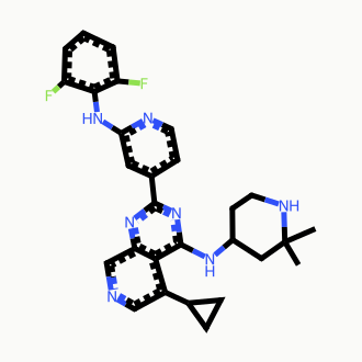 CC1(C)CC(Nc2nc(-c3ccnc(Nc4c(F)cccc4F)c3)nc3cncc(C4CC4)c23)CCN1